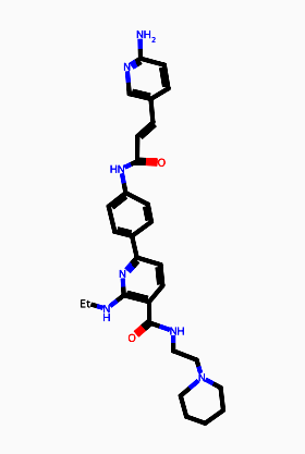 CCNc1nc(-c2ccc(NC(=O)C=Cc3ccc(N)nc3)cc2)ccc1C(=O)NCCN1CCCCC1